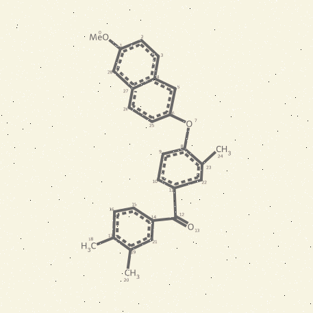 COc1ccc2cc(Oc3ccc(C(=O)c4ccc(C)c(C)c4)cc3C)ccc2c1